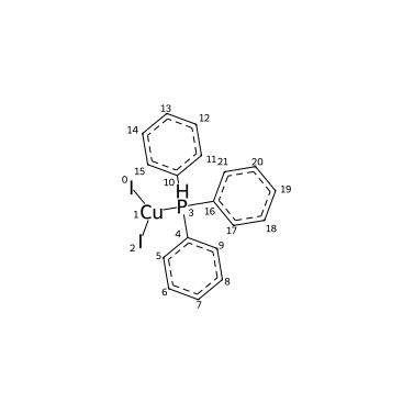 [I][Cu]([I])[PH](c1ccccc1)(c1ccccc1)c1ccccc1